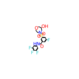 O=C(Nc1cc(F)c(F)c(F)c1)c1cc(F)cc(S(=O)(=O)N2CCOCC(O)C2)c1